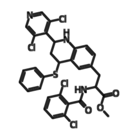 COC(=O)C(Cc1ccc2c(c1)C(Sc1ccccc1)CC(c1c(Cl)cncc1Cl)N2)NC(=O)c1c(Cl)cccc1Cl